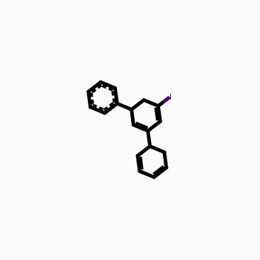 IC1=CC(C2C=CC=CC2)=CC(c2ccccc2)C1